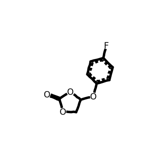 O=C1OCC(Oc2ccc(F)cc2)O1